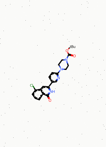 CC(C)(C)OC(=O)N1CCN(c2ccc(-c3cc4c(Cl)cccc4c(=O)[nH]3)cn2)CC1